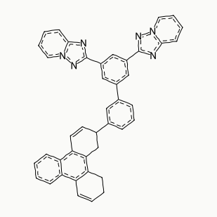 C1=Cc2c(c3c(c4ccccc24)C=CC(c2cccc(-c4cc(-c5nc6ccccn6n5)cc(-c5nc6ccccn6n5)c4)c2)C3)CC1